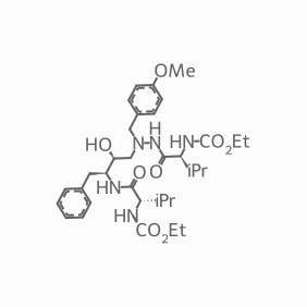 CCOC(=O)N[C@H](C(=O)N[C@@H](Cc1ccccc1)[C@@H](O)CN(Cc1ccc(OC)cc1)NC(=O)[C@@H](NC(=O)OCC)C(C)C)C(C)C